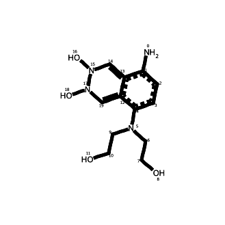 Nc1ccc(N(CCO)CCO)c2c1=CN(O)N(O)C=2